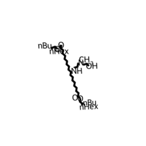 CCCCCCC(CCCC)COC(=O)CCCCCCCCC(CCCCCCCCC(=O)OCC(CCCC)CCCCCC)NCCCN(C)CCO